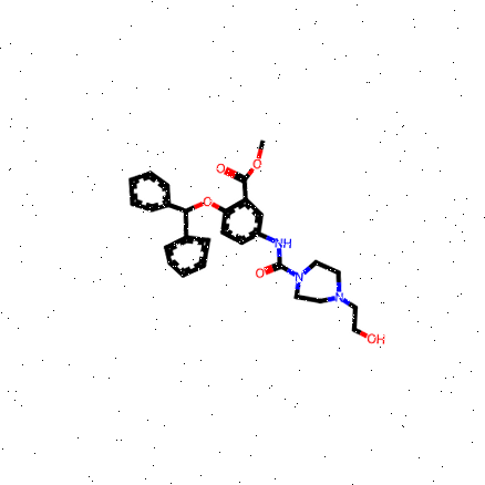 COC(=O)c1cc(NC(=O)N2CCN(CCO)CC2)ccc1OC(c1ccccc1)c1ccccc1